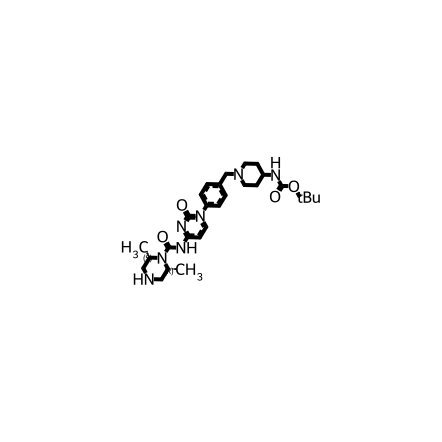 C[C@@H]1CNC[C@H](C)N1C(=O)Nc1ccn(-c2ccc(CN3CCC(NC(=O)OC(C)(C)C)CC3)cc2)c(=O)n1